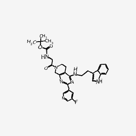 CC(C)(C)OC(=O)NCC(=O)N1CCc2c(nc(-c3cncc(F)c3)nc2NCCc2c[nH]c3ccccc23)C1